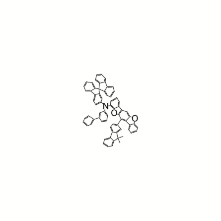 CC1(C)c2ccccc2-c2ccc(-c3c4oc5c(N(c6cccc(-c7ccccc7)c6)c6ccc7c(c6)C6(c8ccccc8-c8ccccc86)c6ccccc6-7)cccc5c4cc4oc5ccccc5c34)cc21